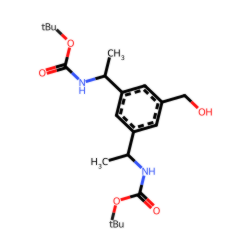 CC(NC(=O)OC(C)(C)C)c1cc(CO)cc(C(C)NC(=O)OC(C)(C)C)c1